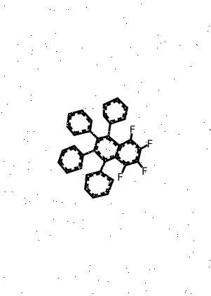 Fc1c(F)c(F)c2c(-c3ccccc3)c(-c3ccccc3)c(-c3ccccc3)c(-c3ccccc3)c2c1F